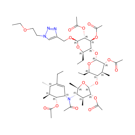 CCOCCn1cc(CO[C@@H]2O[C@H](CC)[C@@H](O[C@H]3O[C@H](CC)[C@@H](O[C@H]4O[C@H](C)[C@@H](N(C(C)=O)[C@H]5C=C(CC)[C@@H](C)[C@H](C)[C@H]5OC(C)=O)[C@H](C)[C@H]4OC(C)=O)[C@H](C)[C@H]3OC(C)=O)[C@H](OC(C)=O)[C@H]2OC(C)=O)nn1